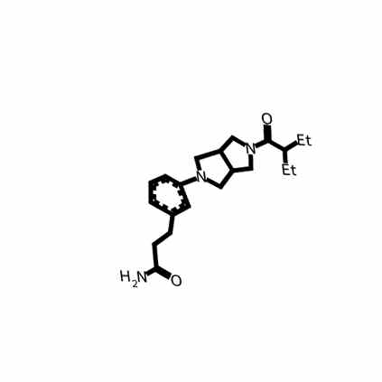 CCC(CC)C(=O)N1CC2CN(c3cccc(CCC(N)=O)c3)CC2C1